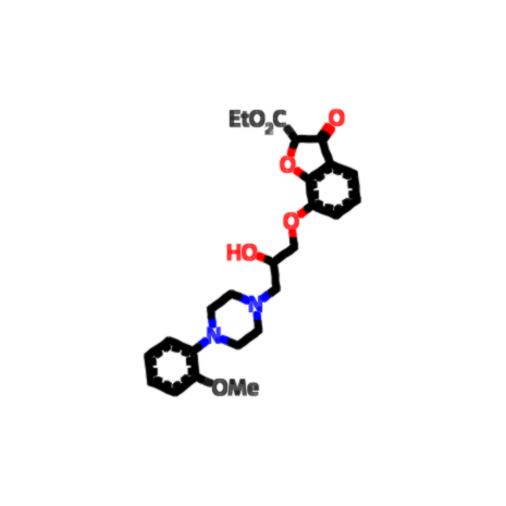 CCOC(=O)C1Oc2c(OCC(O)CN3CCN(c4ccccc4OC)CC3)cccc2C1=O